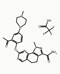 CC(=O)c1cc(N2CCN(C)CC2)ccc1Oc1ncc2c(n1)-c1c(c(C(N)=O)nn1C)CC2.O=C(O)C(F)(F)F